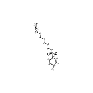 [N-]=[N+]=NCCCCC[CH]CS(=O)(=O)c1ccc(F)cc1